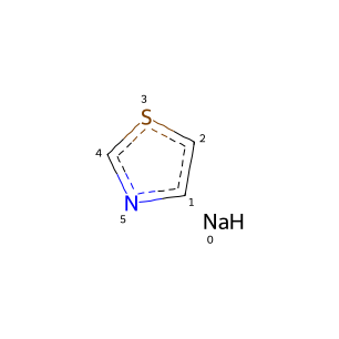 [NaH].c1cscn1